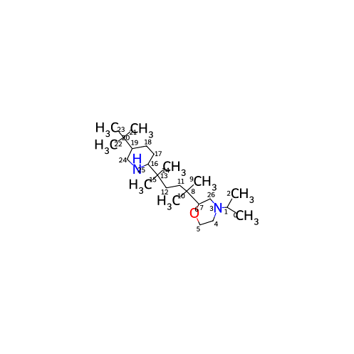 CC(C)N1CCOC(C(C)(C)CCC(C)(C)C2CCC(C(C)(C)C)CN2)C1